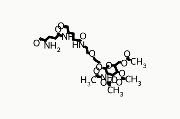 CC(=O)NC1C(OCCOCCNC(=O)CCC(C=O)NC(=O)CCC(N)C=O)OC(COC(C)=O)C(OC(C)=O)C1OC(C)=O